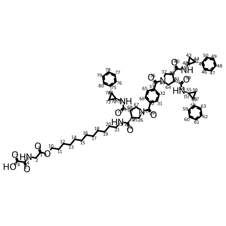 O=C(CNC(=O)C(=O)O)OCCCCCCCCCCCCNC(=O)[C@@H]1CN(C(=O)c2ccc(C(=O)N3C[C@@H](C(=O)N[C@H]4C[C@@H]4c4ccccc4)[C@H](C(=O)N[C@H]4C[C@@H]4c4ccccc4)C3)cc2)C[C@H]1C(=O)N[C@H]1C[C@@H]1c1ccccc1